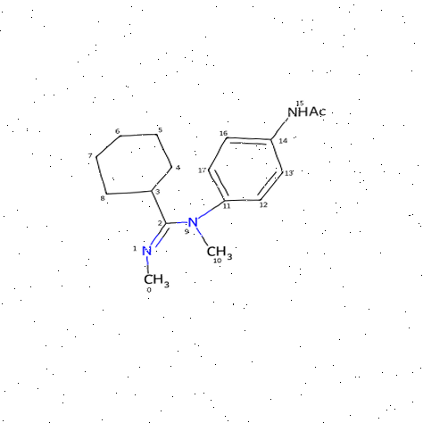 CN=C(C1CCCCC1)N(C)c1ccc(NC(C)=O)cc1